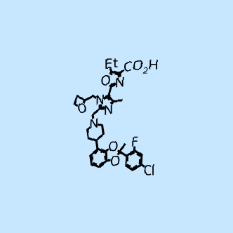 CCc1oc(-c2c(C)nc(CN3CCC(c4cccc5c4OC(C)(c4ccc(Cl)cc4F)O5)CC3)n2CC2CCO2)nc1C(=O)O